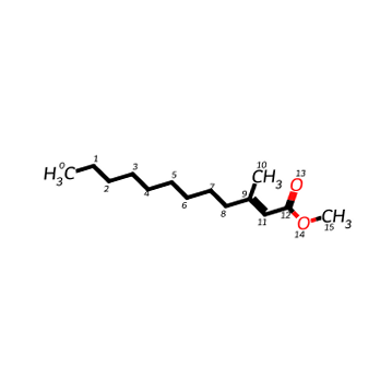 CCCCCCCCC/C(C)=C/C(=O)OC